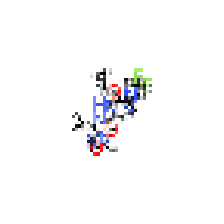 Cc1nc(C(NC(=O)c2cnc(N3CC(F)(F)C3)c(OCC3CC3)n2)C2CC2)no1